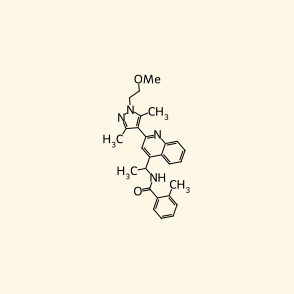 COCCn1nc(C)c(-c2cc(C(C)NC(=O)c3ccccc3C)c3ccccc3n2)c1C